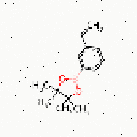 C=Cc1cccc(B2OC(C)(C)C(C)(C)O2)c1